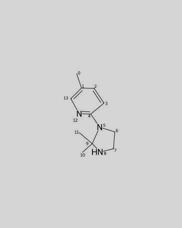 Cc1ccc(N2CCNC2(C)C)nc1